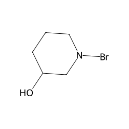 OC1CCCN(Br)C1